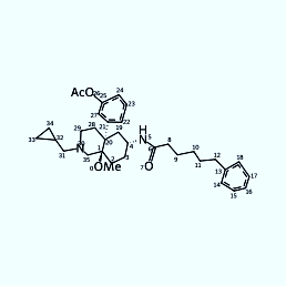 CO[C@]12CC[C@@H](NC(=O)CCCCCc3ccccc3)C[C@]1(c1cccc(OC(C)=O)c1)CCN(CC1CC1)C2